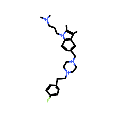 Cc1c(C)n(CCCN(C)C)c2ccc(CN3CCN(CCc4ccc(F)cc4)CC3)cc12